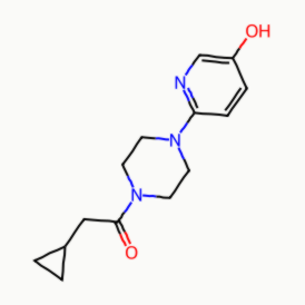 O=C(CC1CC1)N1CCN(c2ccc(O)cn2)CC1